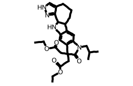 CCOC(=O)CC1(CC(=O)OCC)C(=O)N(CC(C)C)c2cc3c(cc21)NC1c2n[nH]cc2CCCC31